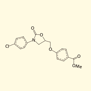 COC(=O)c1ccc(OCC2CN(c3ccc(Cl)cc3)C(=O)O2)cc1